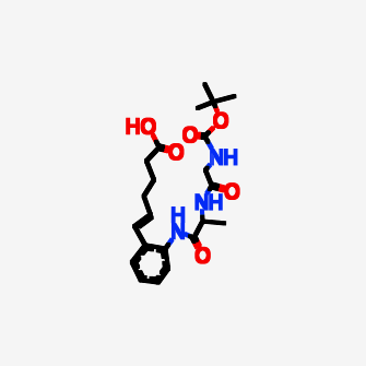 CC(NC(=O)CNC(=O)OC(C)(C)C)C(=O)Nc1ccccc1C=CCCCC(=O)O